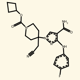 N#CCC1(n2cc(C(N)=O)c(Nc3ccc(F)cc3)n2)CCN(C(=O)OC2CCC2)CC1